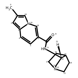 Cc1cc2ccc(C(=O)N[C@H]3CN4CCC3CC4)cn2c1